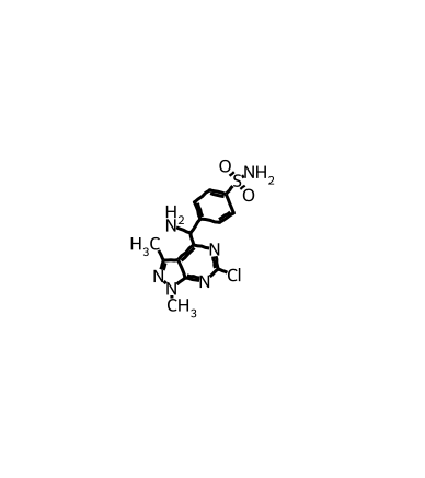 Cc1nn(C)c2nc(Cl)nc(C(N)c3ccc(S(N)(=O)=O)cc3)c12